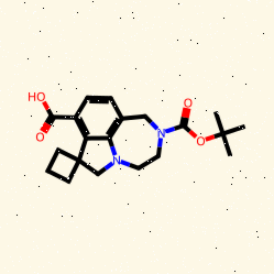 CC(C)(C)OC(=O)N1CCN2CC3(CCC3)c3c(C(=O)O)ccc(c32)C1